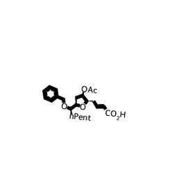 CCCCC[C@@H](OCc1ccccc1)[C@H]1C[C@@H](OC(C)=O)[C@H](C/C=C/C(=O)O)O1